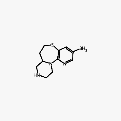 Bc1cnc2c(c1)SCCC1CNCCN21